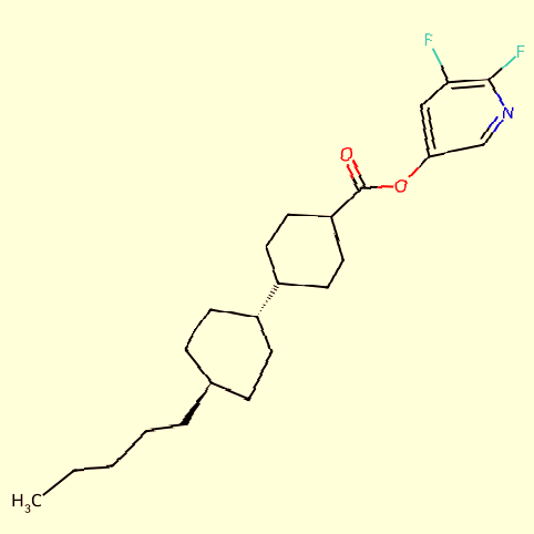 CCCCC[C@H]1CC[C@H](C2CCC(C(=O)Oc3cnc(F)c(F)c3)CC2)CC1